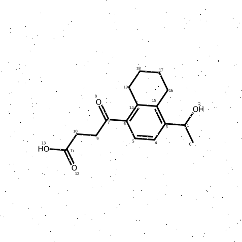 CC(O)c1ccc(C(=O)CCC(=O)O)c2c1CCCC2